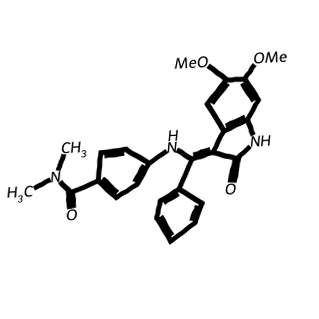 COc1cc2c(cc1OC)C(=C(Nc1ccc(C(=O)N(C)C)cc1)c1ccccc1)C(=O)N2